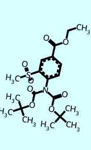 CCOC(=O)c1ccc(N(C(=O)OC(C)(C)C)C(=O)OC(C)(C)C)c(S(C)(=O)=O)c1